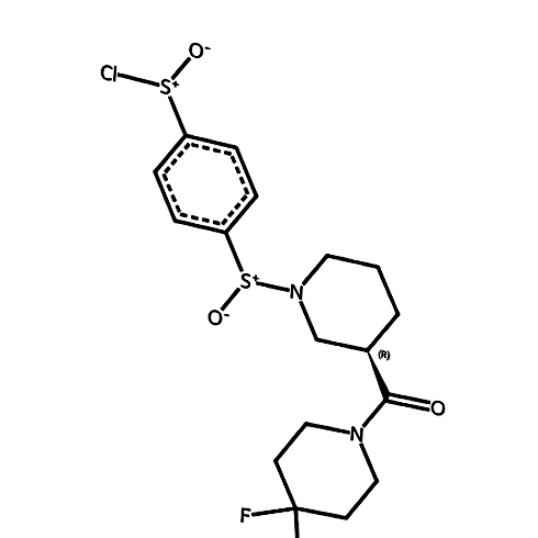 O=C([C@@H]1CCCN([S+]([O-])c2ccc([S+]([O-])Cl)cc2)C1)N1CCC(F)(F)CC1